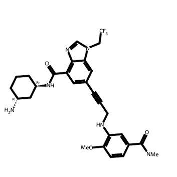 CNC(=O)c1ccc(OC)c(NCC#Cc2cc(C(=O)N[C@@H]3CCC[C@@H](N)C3)c3ncn(CC(F)(F)F)c3c2)c1